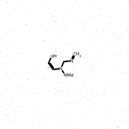 C=NCN(/C=C\CCC)NC